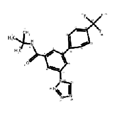 CC(C)(C)NC(=O)c1cc(-c2ccc(C(F)(F)F)cc2)cc(-n2cnnn2)c1